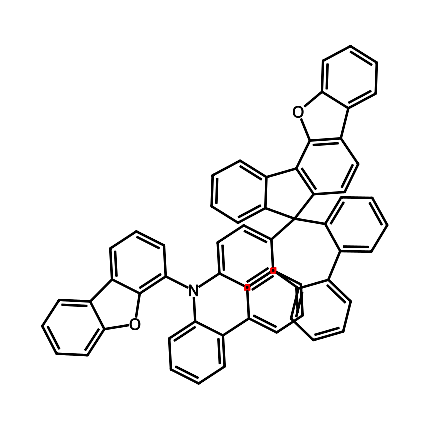 c1ccc(-c2ccccc2N(c2ccc3c(c2)-c2ccccc2-c2ccccc2C32c3ccccc3-c3c2ccc2c3oc3ccccc32)c2cccc3c2oc2ccccc23)cc1